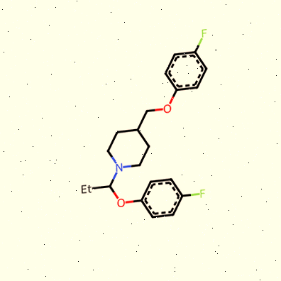 CCC(Oc1ccc(F)cc1)N1CCC(COc2ccc(F)cc2)CC1